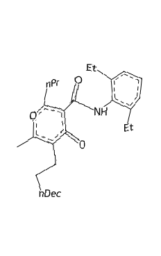 CCCCCCCCCCCCc1c(C)oc(CCC)c(C(=O)Nc2c(CC)cccc2CC)c1=O